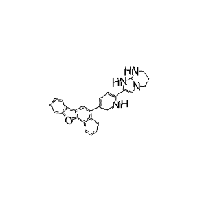 C1=C(C2=CN3CCCNC3N2)NCC(c2cc3c4ccccc4oc3c3ccccc23)=C1